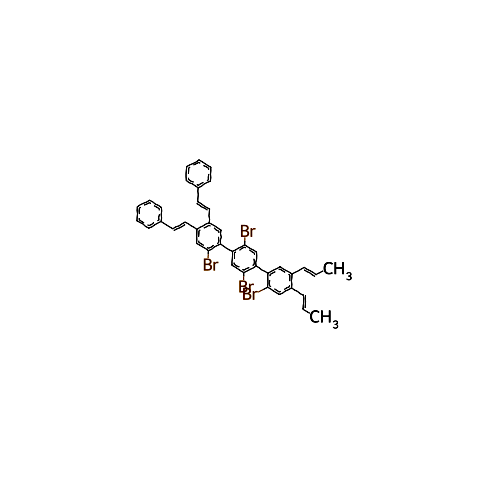 C/C=C/c1cc(Br)c(-c2cc(Br)c(-c3cc(/C=C/c4ccccc4)c(/C=C/c4ccccc4)cc3Br)cc2Br)cc1/C=C/C